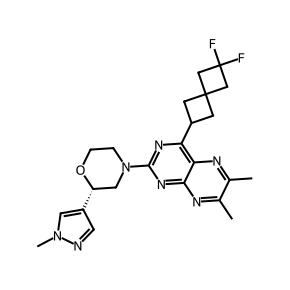 Cc1nc2nc(N3CCO[C@@H](c4cnn(C)c4)C3)nc(C3CC4(C3)CC(F)(F)C4)c2nc1C